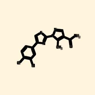 Cc1c(C(N)=O)cnn1-c1nc(-c2ccc(Cl)c(Cl)c2)cs1